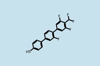 Fc1cc(-c2ccc(S)cc2)ccc1-c1cc(F)c(C(F)F)c(F)c1